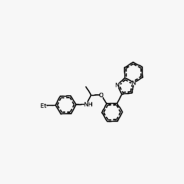 CCc1ccc(NC(C)Oc2ccccc2-c2cn3ccccc3n2)cc1